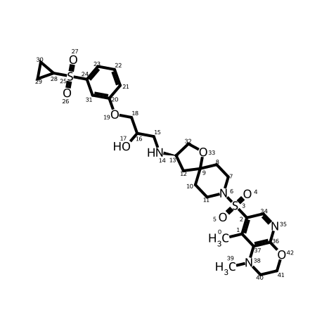 Cc1c(S(=O)(=O)N2CCC3(CC2)C[C@@H](NCC(O)COc2cccc(S(=O)(=O)C4CC4)c2)CO3)cnc2c1N(C)CCO2